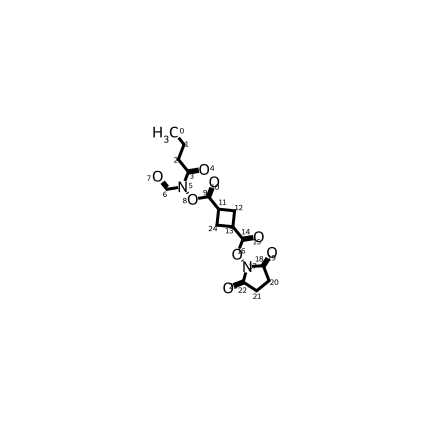 CCCC(=O)N(C=O)OC(=O)C1CC(C(=O)ON2C(=O)CCC2=O)C1